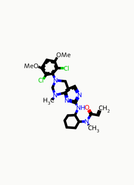 C=CC(=O)N(C)C1CCCCC1Nc1ncc2c(n1)N(C)CN(c1c(Cl)c(OC)cc(OC)c1Cl)C2